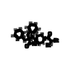 CCC(CC)C(=O)N1CCC2(CC1)NC(=O)C(Cc1ccccc1)(Cc1ccccc1)N2